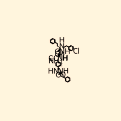 C[C@H](NC(=O)[C@@H](CCc1ccccc1)NCCc1ccc(Cl)cc1)C(=O)NCc1ccc(C(=N)NC(=O)OCc2ccccc2)cc1.NC(=O)O